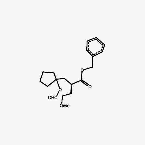 COCC[C@@H](CC1(OC=O)CCCC1)C(=O)OCc1ccccc1